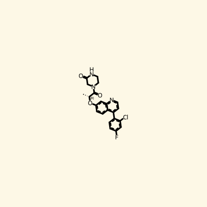 C[C@@H](Oc1ccc2c(-c3ccc(F)cc3Cl)ccnc2c1)C(=O)N1CCNC(=O)C1